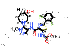 Cn1ncc(NC(=O)c2nc(-c3c(F)cccc3F)sc2NC(=O)OC(C)(C)C)c1N1CCCC(C)(O)CC1